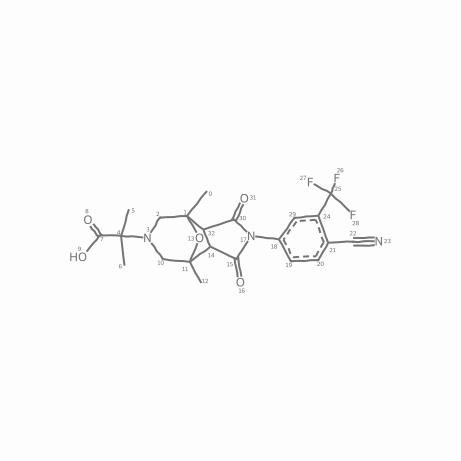 CC12CN(C(C)(C)C(=O)O)CC(C)(O1)C1C(=O)N(c3ccc(C#N)c(C(F)(F)F)c3)C(=O)C12